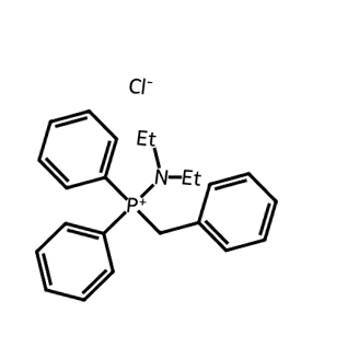 CCN(CC)[P+](Cc1ccccc1)(c1ccccc1)c1ccccc1.[Cl-]